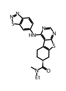 [CH2]CN(C)C(=O)[C@H]1CCc2c(sc3ncnc(Nc4ccc5nnsc5c4)c23)C1